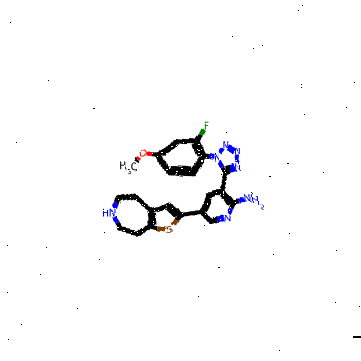 COc1ccc(-n2nnnc2-c2cc(-c3cc4c(s3)CCNCC4)cnc2N)c(F)c1